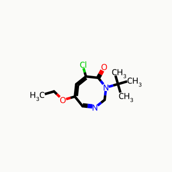 CCOC1=C=C(Cl)C(=O)N(C(C)(C)C)C/N=C\1